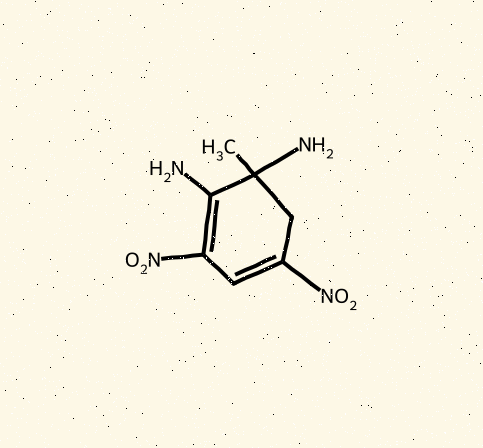 CC1(N)CC([N+](=O)[O-])=CC([N+](=O)[O-])=C1N